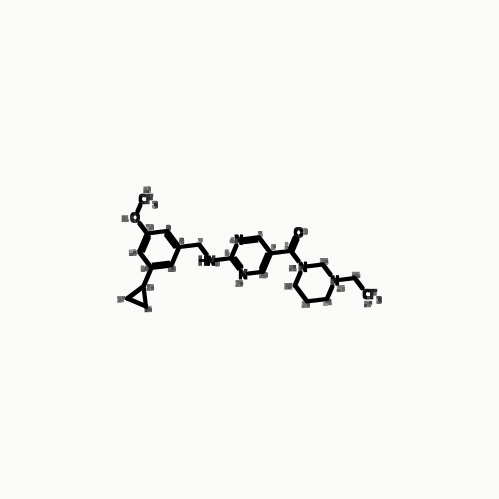 O=C(c1cnc(NCc2cc(OC(F)(F)F)cc(C3CC3)c2)nc1)N1CCCN(CC(F)(F)F)C1